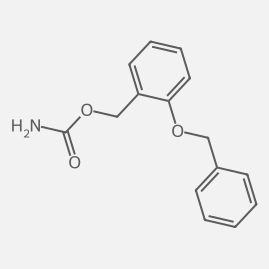 NC(=O)OCc1ccccc1OCc1ccccc1